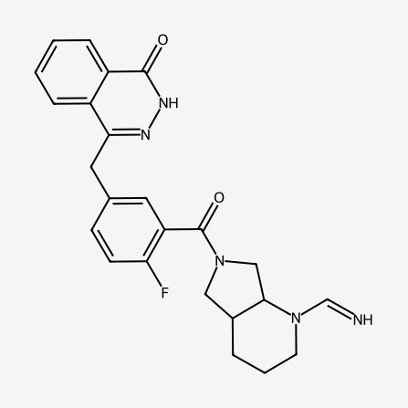 N=CN1CCCC2CN(C(=O)c3cc(Cc4n[nH]c(=O)c5ccccc45)ccc3F)CC21